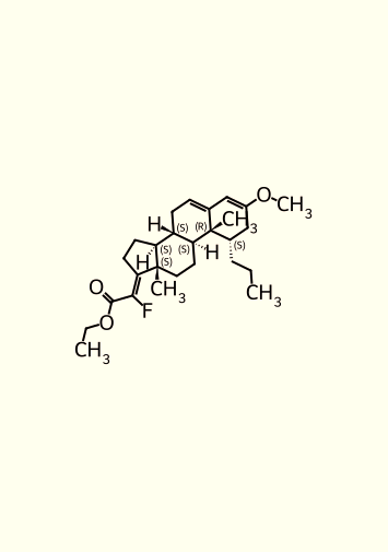 CCC[C@H]1CC(OC)=CC2=CC[C@@H]3[C@H](CC[C@]4(C)C(=C(F)C(=O)OCC)CC[C@@H]34)[C@]21C